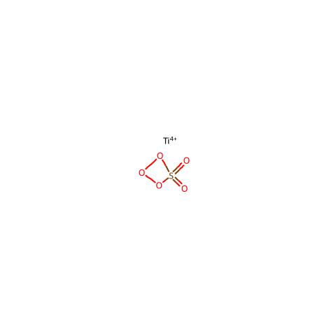 O=S1(=O)OOO1.[Ti+4]